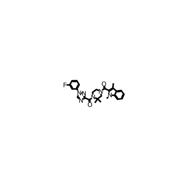 Cc1c(C(=O)N2CCN(C(=O)c3ncn(-c4cccc(F)c4)n3)C(C)(C)C2)n(C)c2ccccc12